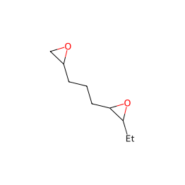 CCC1OC1CCCC1CO1